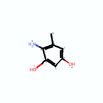 Cc1cc(O)cc(O)c1N